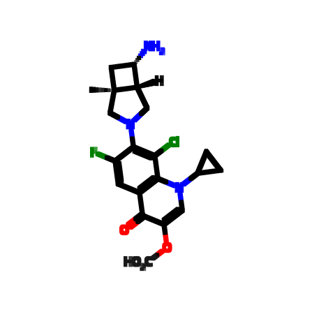 C[C@]12C[C@H](N)[C@@H]1CN(c1c(F)cc3c(=O)c(OC(=O)O)cn(C4CC4)c3c1Cl)C2